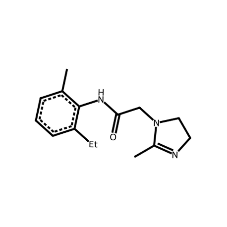 CCc1cccc(C)c1NC(=O)CN1CCN=C1C